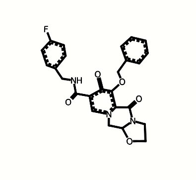 O=C(NCc1ccc(F)cc1)c1cn2c(c(OCc3ccccc3)c1=O)C(=O)N1CCOC1C2